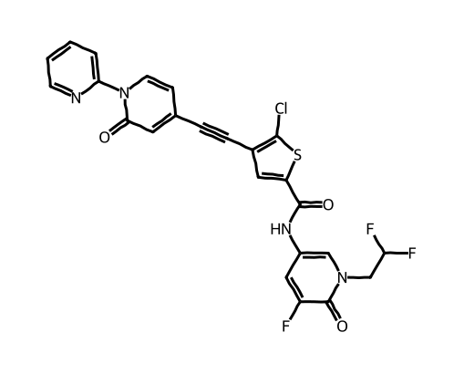 O=C(Nc1cc(F)c(=O)n(CC(F)F)c1)c1cc(C#Cc2ccn(-c3ccccn3)c(=O)c2)c(Cl)s1